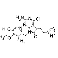 COc1c(C)cnc(Cn2c(=O)n(CCn3cncn3)c3c(Cl)nc(N)nc32)c1C